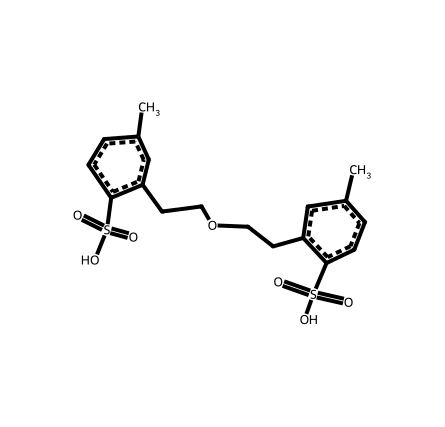 Cc1ccc(S(=O)(=O)O)c(CCOCCc2cc(C)ccc2S(=O)(=O)O)c1